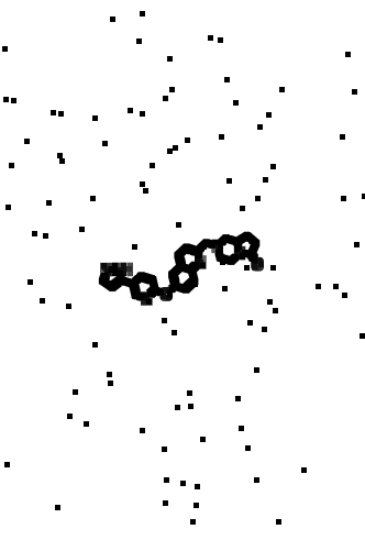 O=C1CCC2CN(Cc3ccc4cc(Oc5ccc(-c6ccn[nH]6)cn5)ccc4n3)CCN12